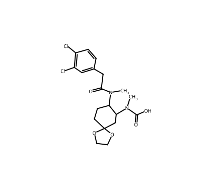 CN(C(=O)O)C1CC2(CCC1N(C)C(=O)Cc1ccc(Cl)c(Cl)c1)OCCO2